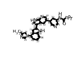 CCCC(=O)Nc1cncc(-c2cnc3[nH]nc(-c4cc5c(-n6cnc(C)c6)cccc5[nH]4)c3c2)c1